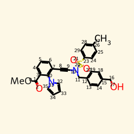 COC(=O)c1cccc(C#CN(Cc2ccc(CO)cc2)S(=O)(=O)c2ccc(C)cc2)c1-n1cccc1